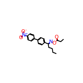 CCCCC(=NOC(=O)CC)c1ccc(-c2ccc([N+](=O)[O-])cc2)cc1